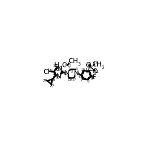 CC(C)[C@@H]1CN(c2ccc(F)c(S(C)(=O)=O)c2)CCN1c1ncc(Cl)c(C2CC2)n1